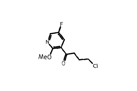 COc1ncc(F)cc1C(=O)CCCCl